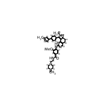 COc1cc(C(=O)NCCN2CCN(C)CC2)ccc1Nc1ncc2c(n1)-c1c(nn(C)c1-c1ccc(-c3cnn(C)c3)cc1)CC2